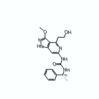 COc1n[nH]c2cc(NC(=O)N[C@H](C)c3ccccc3)nc(CCO)c12